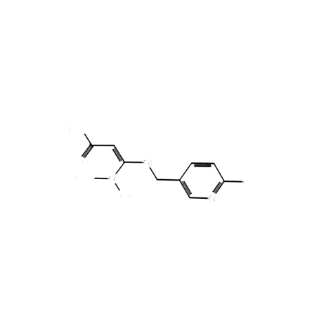 CN(C)/C(=C\C(=O)C(F)(F)F)NCc1ccc(Cl)nc1